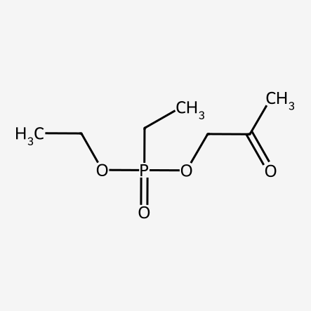 CCOP(=O)(CC)OCC(C)=O